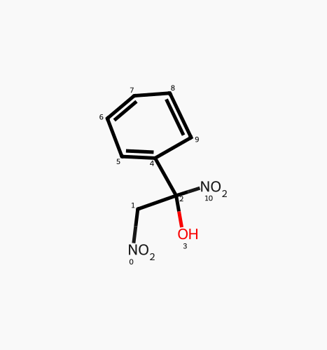 O=[N+]([O-])CC(O)(c1ccccc1)[N+](=O)[O-]